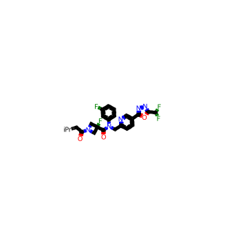 CC(C)CC(=O)N1CC(F)(C(=O)N(Cc2ccc(-c3nnc(C(F)F)o3)cn2)c2cccc(F)c2)C1